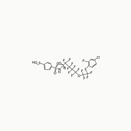 O=S(=O)(O)c1ccc(S(=O)(=O)NS(=O)(=O)C(F)(F)C(F)(F)C(F)(F)C(F)(F)OC(F)(F)C(F)(F)Sc2ccc(Cl)cc2F)cc1